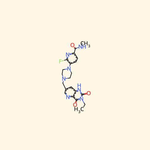 CCn1c(=O)[nH]c2cc(CN3CCN(c4ccc(C(=O)NC)nc4F)CC3)cnc2c1=O